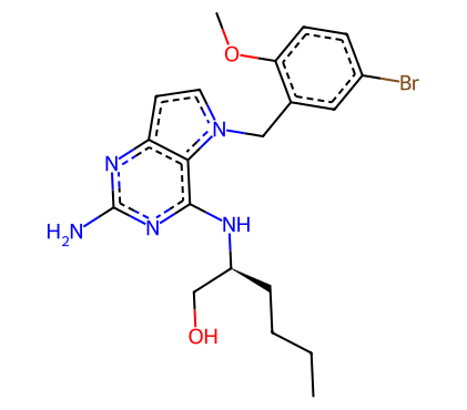 CCCC[C@@H](CO)Nc1nc(N)nc2ccn(Cc3cc(Br)ccc3OC)c12